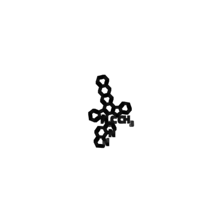 CC1(C)c2ccccc2-c2c1c1c(c3cc4c(cc23)Cc2ccccc2C4)c2ccccc2n1-c1ccnc2c1ccc1cccnc12